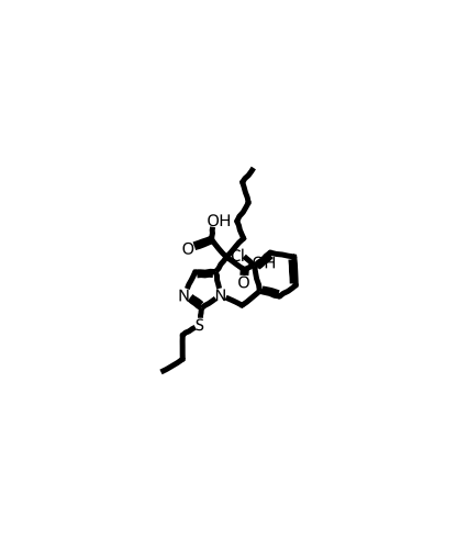 CCCCCC(C(=O)O)(C(=O)O)c1cnc(SCCC)n1Cc1ccccc1Cl